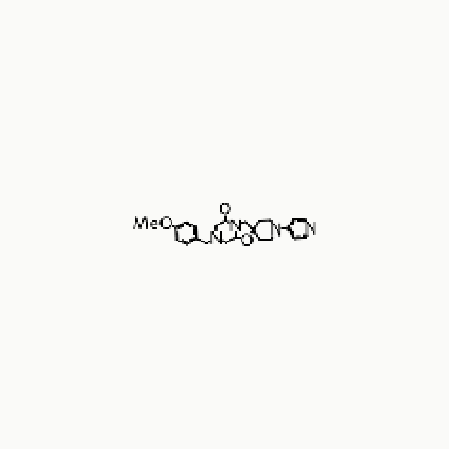 COc1ccc(CN2CC(=O)N3CC4(CCN(c5ccncc5)CC4)OC3C2)cc1